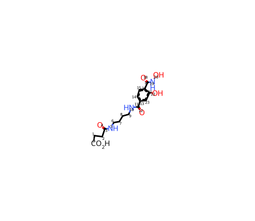 O=C(O)CCC(=O)NCCCCNC(=O)c1ccc(C(=O)NO)c(O)c1